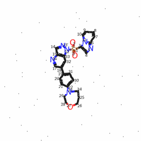 O=S(=O)(c1cnc2ccccn12)n1ncc2ncc(-c3ccc(N4CCCOCC4)cc3)cc21